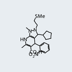 CSCCN1C(C2CCCC2)C2=C(NC(C)=C(C(=O)O)C2c2ccccc2[N+](=O)[O-])N1C